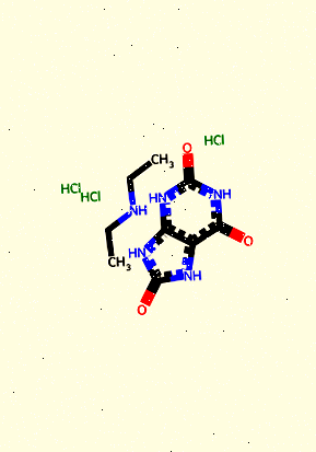 CCNCC.Cl.Cl.Cl.O=c1[nH]c(=O)c2[nH]c(=O)[nH]c2[nH]1